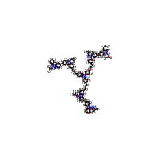 CC(C)Cn1c2ccccc2c2cc(-c3ccc4c(c3)c3cc(CCCc5ccc(N(c6ccc(CCCc7ccc8c(c7)c7cc(-c9ccc%10c(c9)c9ccccc9n%10CC(C)C)ccc7n8CC(C)C)cc6)c6ccc(CCCc7ccc8c(c7)c7cc(-c9ccc%10c(c9)c9ccccc9n%10CC(C)C)ccc7n8CC(C)C)cc6)cc5)ccc3n4CC(C)C)ccc21